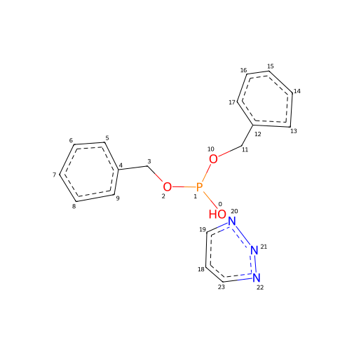 OP(OCc1ccccc1)OCc1ccccc1.c1cnnnc1